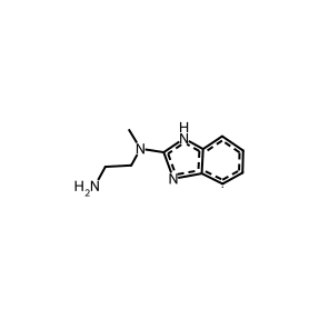 CN(CCN)c1nc2[c]cccc2[nH]1